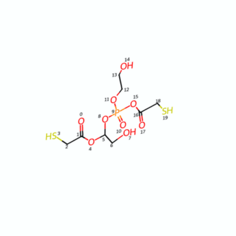 O=C(CS)OC(CO)OP(=O)(OCCO)OC(=O)CS